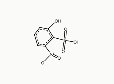 O=[N+]([O-])c1cccc(O)c1S(=O)(=O)O